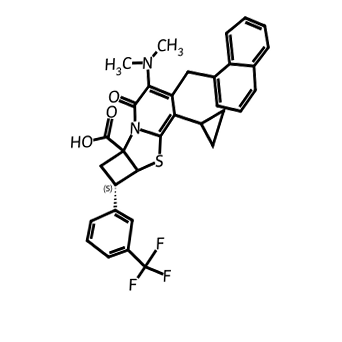 CN(C)c1c(Cc2cccc3ccccc23)c(C2CC2)c2n(c1=O)C1(C(=O)O)C[C@@H](c3cccc(C(F)(F)F)c3)C1S2